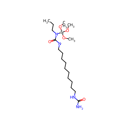 CCCN(C(=O)[N]CCCCCCCCCCNC(N)=O)[Si](OC)(OC)OC